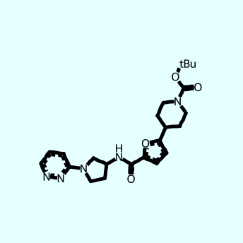 CC(C)(C)OC(=O)N1CCC(c2ccc(C(=O)NC3CCN(c4cccnn4)C3)o2)CC1